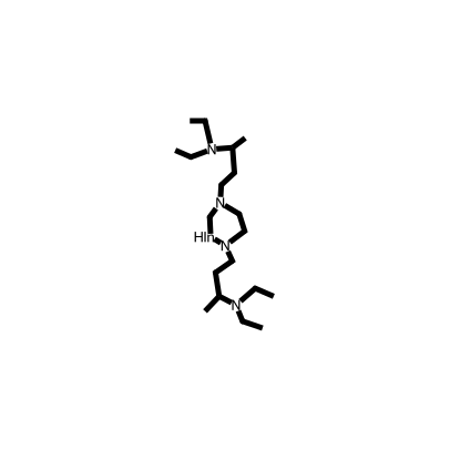 CCN(CC)C(C)CCN1CC[N](CCC(C)N(CC)CC)[InH][CH2]1